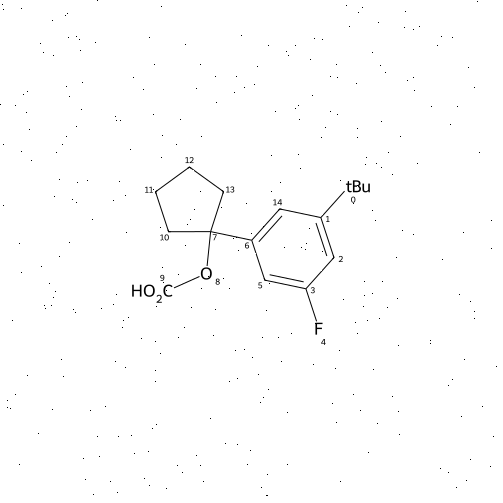 CC(C)(C)c1cc(F)cc(C2(OC(=O)O)CCCC2)c1